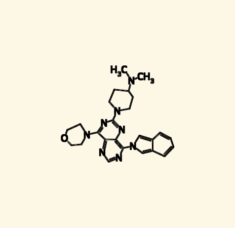 CN(C)C1CCN(c2nc(N3CCOCC3)c3ncnc(-n4cc5ccccc5c4)c3n2)CC1